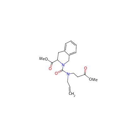 C=CCN(CCC(=O)OC)C(=O)N1Cc2ccccc2CC1C(=O)OC